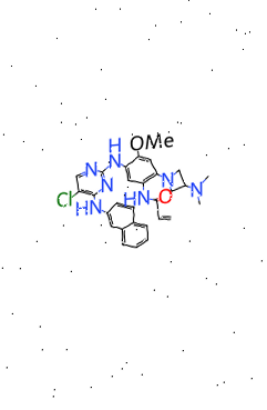 C=CC(=O)Nc1cc(Nc2ncc(Cl)c(Nc3ccc4ccccc4c3)n2)c(OC)cc1N1CC(N(C)C)C1